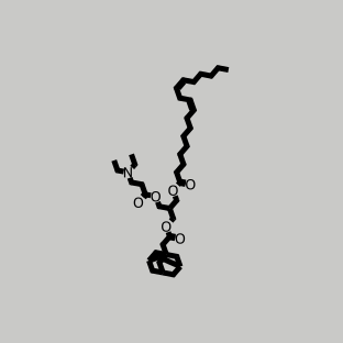 CCCCC/C=C\C/C=C\CCCCCCCC(=O)OCC(COC(=O)CCN(CC)CC)COC(=O)CC12CC3CC(CC(C3)C1)C2